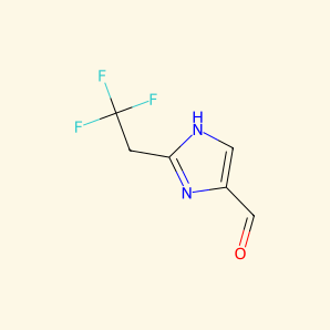 O=Cc1c[nH]c(CC(F)(F)F)n1